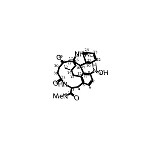 CNC(=O)C1Cc2ccc(NO)c(c2C[C@@H](C)C=CNC(C)=O)C(c2ccccc2)CCC(=O)CCC(=O)N1